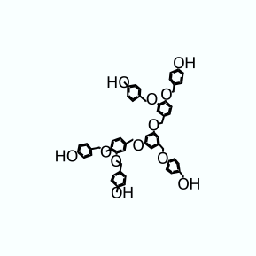 OCc1ccc(OCc2cc(OCc3ccc(OCc4ccc(O)cc4)c(OCc4ccc(O)cc4)c3)cc(OCc3ccc(OCc4ccc(O)cc4)c(OCc4ccc(O)cc4)c3)c2)cc1